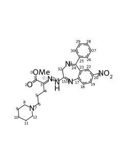 COC(=O)/C(CCCN1CCCCC1)=N/NC1=Nc2ccc([N+](=O)[O-])cc2C(c2ccccc2)=NC1